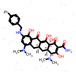 CC(C)c1ccc(CNc2cc(N(C)C)c3c(c2O)C(=O)C2=C(O)[C@@]4(O)C(=O)C(C(N)=O)=C(O)[C@H](N(C)C)[C@H]4C[C@H]2C3)cc1